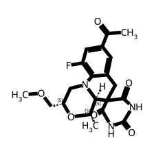 COC[C@@H]1CN2c3c(F)cc(C(C)=O)cc3CC3(C(=O)NC(=O)NC3=O)[C@H]2[C@H](C)O1